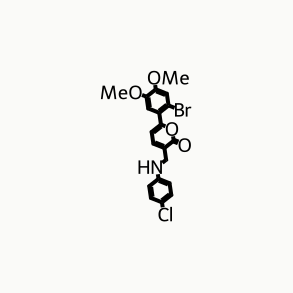 COc1cc(Br)c(-c2ccc(CNc3ccc(Cl)cc3)c(=O)o2)cc1OC